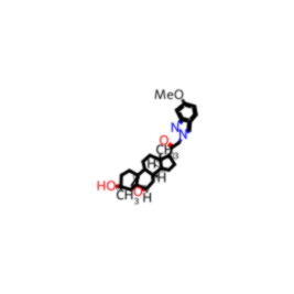 COc1ccc2cn(CC(=O)[C@H]3CC[C@H]4[C@@H]5C[C@H]6OC[C@@]7(CC[C@@](C)(O)CC67)C5CC[C@]34C)nc2c1